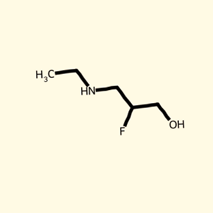 CCNCC(F)CO